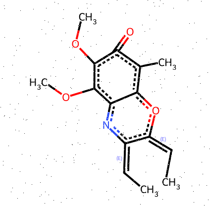 C/C=c1/nc2c(OC)c(OC)c(=O)c(C)c-2o/c1=C/C